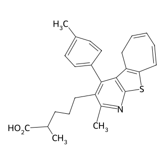 Cc1ccc(-c2c(CCCC(C)C(=O)O)c(C)nc3sc4c(c23)CC=CC=C4)cc1